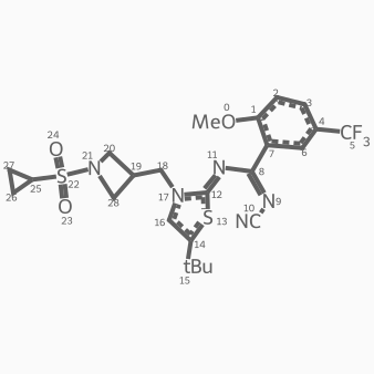 COc1ccc(C(F)(F)F)cc1C(=NC#N)N=c1sc(C(C)(C)C)cn1CC1CN(S(=O)(=O)C2CC2)C1